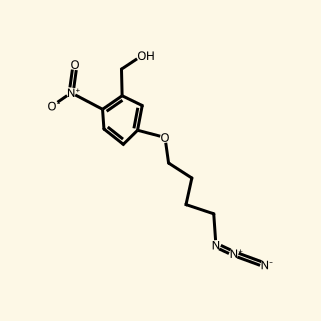 [N-]=[N+]=NCCCCOc1ccc([N+](=O)[O-])c(CO)c1